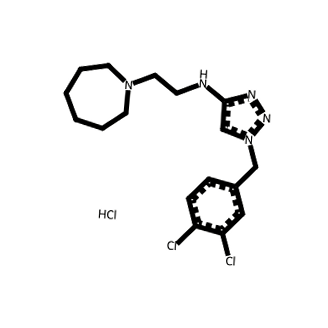 Cl.Clc1ccc(Cn2cc(NCCN3CCCCCC3)nn2)cc1Cl